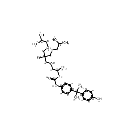 CCC(COCC(C)O)(COCC(C)O)COCC(C)OC(=O)Oc1ccc(C(C)(C)c2ccc(O)cc2)cc1